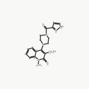 CCOC(=O)c1c(N2CCN(C(=O)c3cc[nH]n3)CC2)c2ccccc2n(C)c1=O